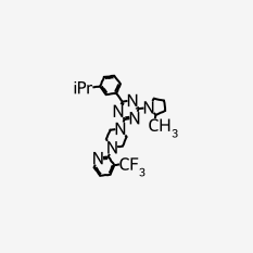 CC(C)c1cccc(-c2nc(N3CCN(c4ncccc4C(F)(F)F)CC3)nc(N3CCCC3C)n2)c1